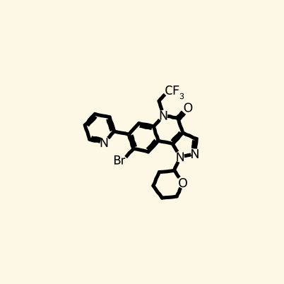 O=c1c2cnn(C3CCCCO3)c2c2cc(Br)c(-c3ccccn3)cc2n1CC(F)(F)F